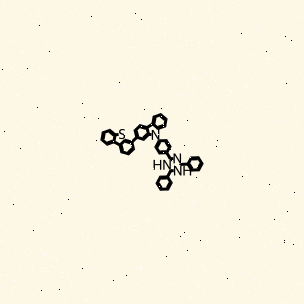 c1ccc(C2N=C(c3ccc(-n4c5ccccc5c5ccc(-c6cccc7c6sc6ccccc67)cc54)cc3)NC(c3ccccc3)N2)cc1